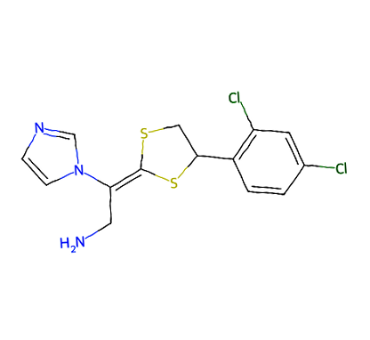 NC/C(=C1/SCC(c2ccc(Cl)cc2Cl)S1)n1ccnc1